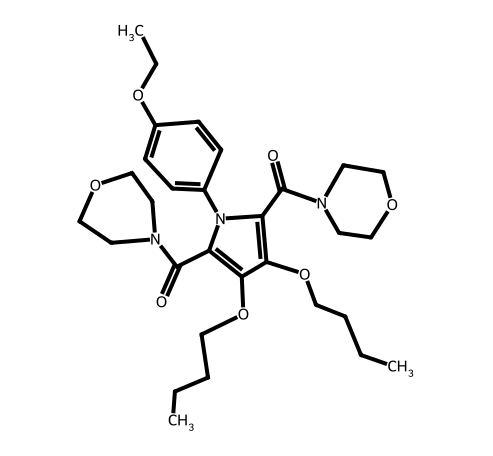 CCCCOc1c(OCCCC)c(C(=O)N2CCOCC2)n(-c2ccc(OCC)cc2)c1C(=O)N1CCOCC1